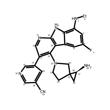 CCNc1cc(F)cc2c1[nH]c1ncc(-c3cncc(C#N)c3)c(N3CCC4(C[C@@H]4N)C3)c12